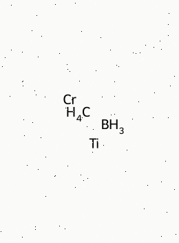 B.C.[Cr].[Ti]